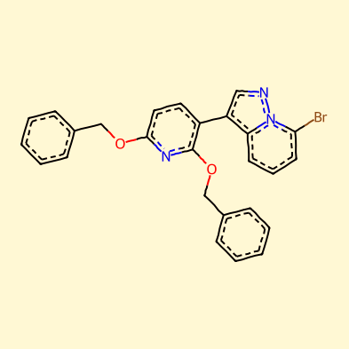 Brc1cccc2c(-c3ccc(OCc4ccccc4)nc3OCc3ccccc3)cnn12